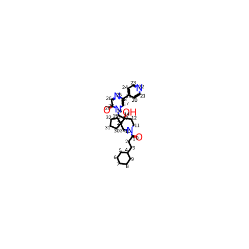 O=C(CCC1CCCCC1)N1CCC(O)(Cn2cc(-c3ccncc3)ncc2=O)C2(CCCC2)C1